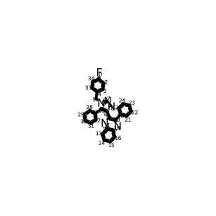 Fc1ccc(Cn2nnc(-c3nc4ccccc4nc3-c3ccccc3)c2-c2ccccc2)cc1